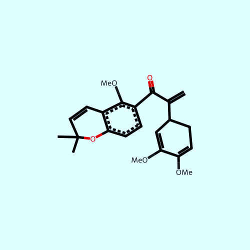 C=C(C(=O)c1ccc2c(c1OC)C=CC(C)(C)O2)C1C=C(OC)C(OC)=CC1